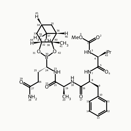 COC(=O)N[C@H](C(=O)N[C@@H](Cc1ccccc1)C(=O)N[C@@H](C)C(=O)N[C@H](CCC(N)=O)B1O[C@@H]2C[C@@H]3C[C@@H](C3(C)C)[C@]2(C)O1)C(C)C